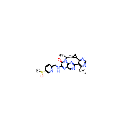 CC[S+]([O-])c1ccc(CNc2nc3cnc(-c4c(C)ncnc4C4CC4)nc3n(C(C#N)C(C)C)c2=O)nc1